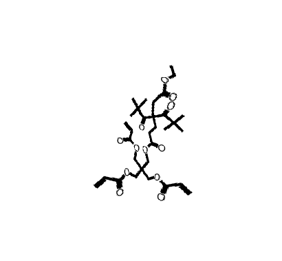 C=CC(=O)OCC(COC(=O)C=C)(COC(=O)C=C)COC(=O)CCC(CC(=O)OCC)(C(=O)C(C)(C)C)C(=O)C(C)(C)C